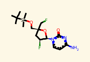 CC(C)(C)[Si](C)(C)OC[C@]1(CF)C[C@H](F)[C@H](n2ccc(N)nc2=O)O1